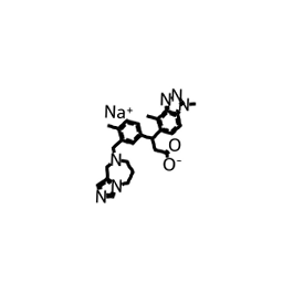 Cc1ccc(C(CC(=O)[O-])c2ccc3c(nnn3C)c2C)cc1CN1CCCn2cncc2C1.[Na+]